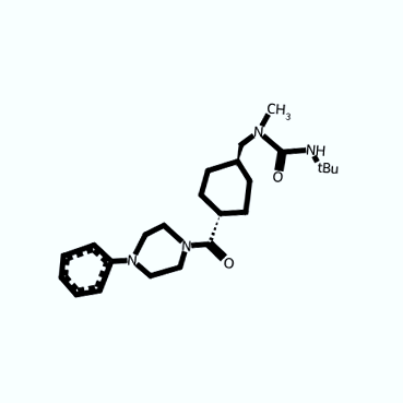 CN(C[C@H]1CC[C@H](C(=O)N2CCN(c3ccccc3)CC2)CC1)C(=O)NC(C)(C)C